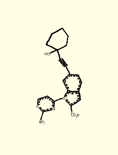 Nc1nccc(-n2c(C(=O)O)cc3ccc(C#CC4(O)CCCCC4)cc32)n1